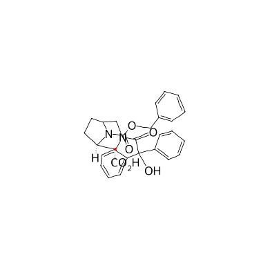 O=C(O)[C@@H]1[C@H]2CCC(CN1C(=O)C(O)(c1ccccc1)c1ccccc1)N2C(=O)OCc1ccccc1